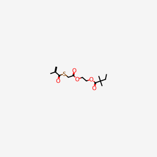 C=C(C)C(=O)SCC(=O)OCCOC(=O)C(C)(C)CC